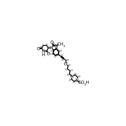 Cn1c(=O)n(C2CCC(=O)NC2=O)c2ccc(C#CCOCCCCN3CCN(C(=O)O)CC3)cc21